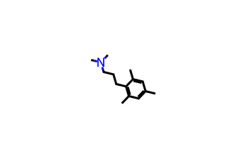 Cc1cc(C)c(CCCN(C)C)c(C)c1